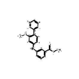 COC(=O)c1cccc(Nc2ccc(-c3cccnn3)c(OC)c2)c1